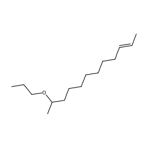 CC=CCCCCCCCC(C)OCCC